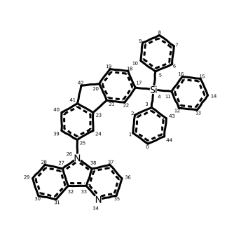 c1ccc([Si](c2ccccc2)(c2ccccc2)c2ccc3c(c2)-c2cc(-n4c5ccccc5c5ncccc54)ccc2C3)cc1